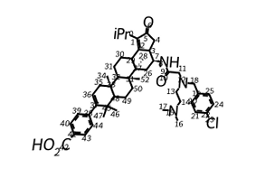 CC(C)C1=C2C(CC1=O)[C@@H](NC(=O)CN(CCN(C)C)Cc1ccc(Cl)cc1)C[C@]1(C)C2CCC2[C@@]3(C)CC=C(c4ccc(C(=O)O)cc4)C(C)(C)C3CC[C@]21C